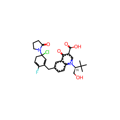 CC(C)(C)[C@@H](CO)n1cc(C(=O)O)c(=O)c2cc(CC3=CC(Cl)(N4CCCC4=O)CC=C3F)ccc21